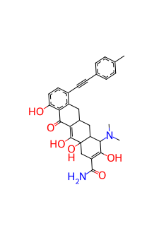 Cc1ccc(C#Cc2ccc(O)c3c2CC2CC4C(N(C)C)C(O)=C(C(N)=O)CC4(O)C(O)=C2C3=O)cc1